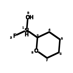 O[SiH](F)C1CCCCO1